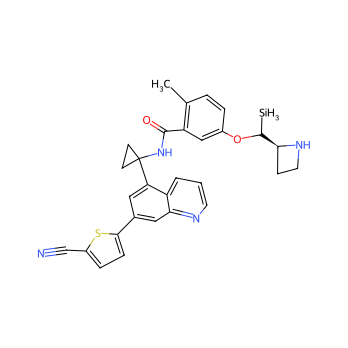 Cc1ccc(OC([SiH3])[C@@H]2CCN2)cc1C(=O)NC1(c2cc(-c3ccc(C#N)s3)cc3ncccc23)CC1